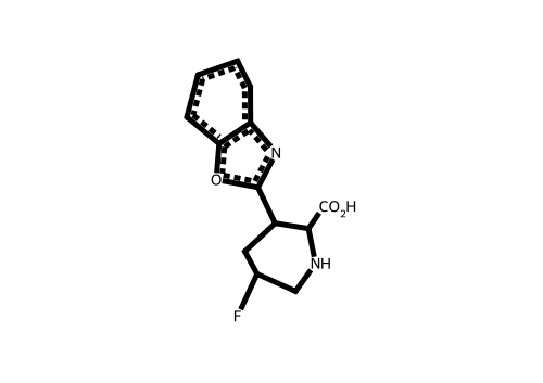 O=C(O)C1NCC(F)CC1c1nc2ccccc2o1